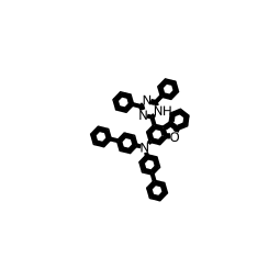 c1ccc(C2=NC(c3cc(N(c4ccc(-c5ccccc5)cc4)c4ccc(-c5ccccc5)cc4)cc4oc5ccccc5c34)NC(c3ccccc3)=N2)cc1